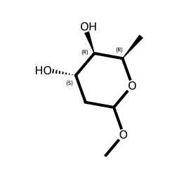 COC1C[C@H](O)[C@@H](O)[C@@H](C)O1